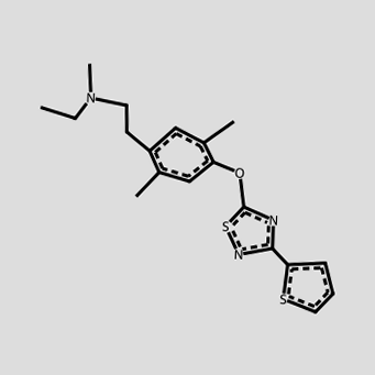 CCN(C)CCc1cc(C)c(Oc2nc(-c3cccs3)ns2)cc1C